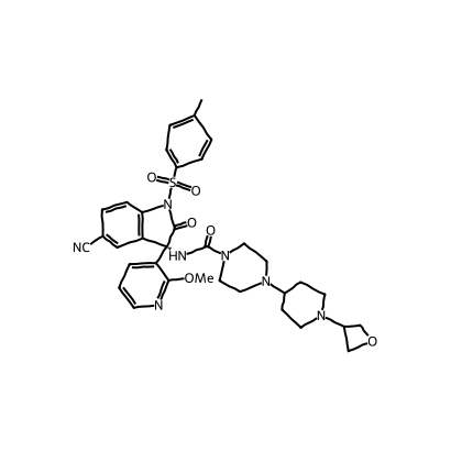 COc1ncccc1[C@]1(NC(=O)N2CCN(C3CCN(C4COC4)CC3)CC2)C(=O)N(S(=O)(=O)c2ccc(C)cc2)c2ccc(C#N)cc21